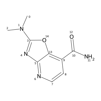 CN(C)c1nc2nccc(C(N)=O)c2o1